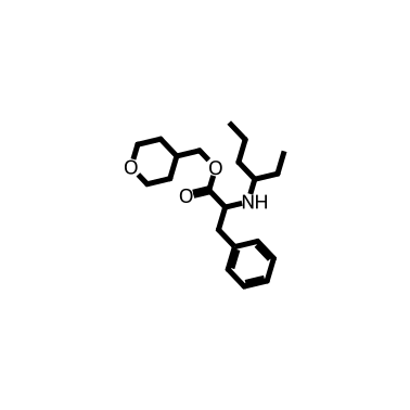 CCCC(CC)NC(Cc1ccccc1)C(=O)OCC1CCOCC1